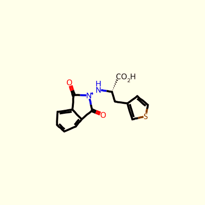 O=C(O)[C@H](Cc1ccsc1)NN1C(=O)c2ccccc2C1=O